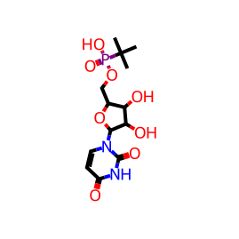 CC(C)(C)P(=O)(O)OCC1OC(n2ccc(=O)[nH]c2=O)C(O)C1O